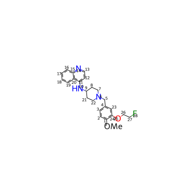 COc1ccc(CN2CCC(Nc3ccnc4ccccc34)CC2)cc1OCCF